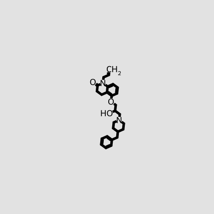 C=CCN1C(=O)CCc2c(OCC(O)CN3CCC(Cc4ccccc4)CC3)cccc21